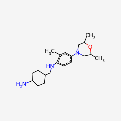 Cc1cc(N2CC(C)OC(C)C2)ccc1NCC1CCC(N)CC1